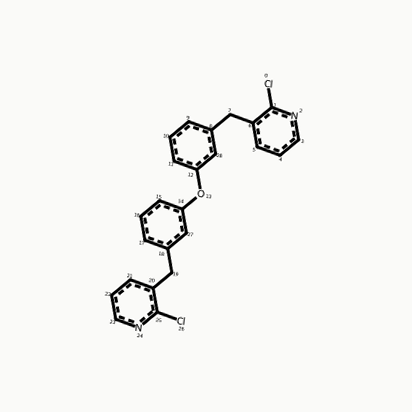 Clc1ncccc1Cc1cccc(Oc2cccc(Cc3cccnc3Cl)c2)c1